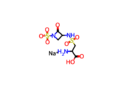 NC(CS(=O)(=O)NC1CN(S(=O)(=O)[O-])C1=O)C(=O)O.[Na+]